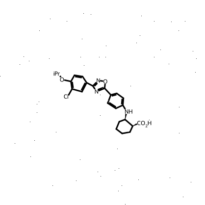 CC(C)Oc1ccc(-c2noc(-c3ccc(N[C@@H]4CCCC[C@@H]4C(=O)O)cc3)n2)cc1Cl